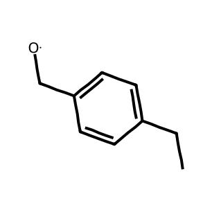 CCc1ccc(C[O])cc1